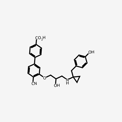 N#Cc1ccc(-c2ccc(C(=O)O)cc2)cc1OCC(O)CNC1(Cc2ccc(O)cc2)CC1